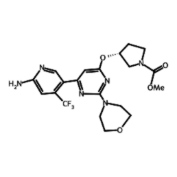 COC(=O)N1CC[C@@H](Oc2cc(-c3cnc(N)cc3C(F)(F)F)nc(N3CCOCC3)n2)C1